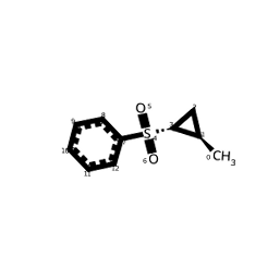 C[C@@H]1C[C@H]1S(=O)(=O)c1ccccc1